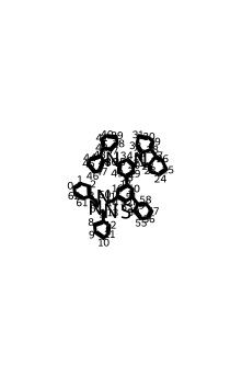 c1ccc(-c2nc(-c3ccccc3)nc(-c3cc(-c4cc(-n5c6ccccc6c6ccccc65)cc(-n5c6ccccc6c6ccccc65)c4)cc4c3sc3ccccc34)n2)cc1